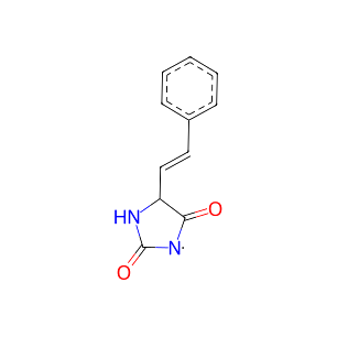 O=C1[N]C(=O)C(C=Cc2ccccc2)N1